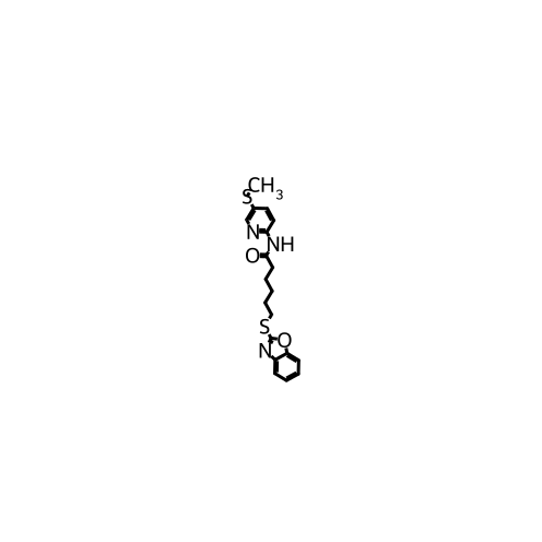 CSc1ccc(NC(=O)CCCCCSc2nc3ccccc3o2)nc1